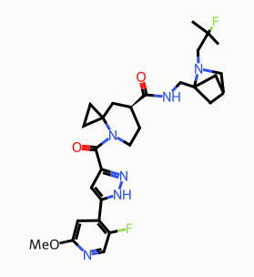 COc1cc(-c2cc(C(=O)N3CC[C@H](C(=O)NCC45CC(CN4CC(C)(C)F)C5)CC34CC4)n[nH]2)c(F)cn1